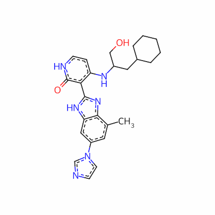 Cc1cc(-n2ccnc2)cc2[nH]c(-c3c(NC(CO)CC4CCCCC4)cc[nH]c3=O)nc12